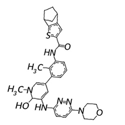 Cc1c(NC(=O)c2cc3c(s2)C2CCC3C2)cccc1C1=CN(C)C(O)C(Nc2ccc(N3CCOCC3)nn2)=C1